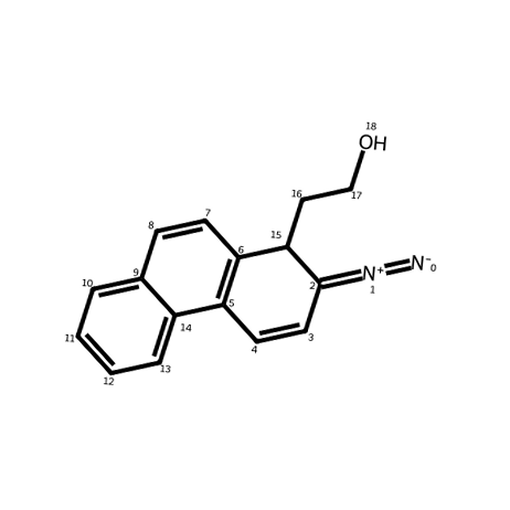 [N-]=[N+]=C1C=Cc2c(ccc3ccccc23)C1CCO